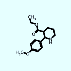 CCOC(=O)C1CCCNC1c1ccc(OC)cc1